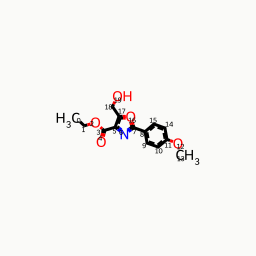 CCOC(=O)c1nc(-c2ccc(OC)cc2)oc1CO